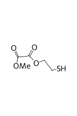 COC(=O)C(=O)OCCS